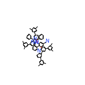 Cc1cc(C)cc(-c2ccc3c(c2)c2cc(-c4cc(C)cc(C)c4)ccc2n3-c2cc(C#N)ccc2-c2c(-c3nc(-c4ccccc4)nc(-c4ccccc4)n3)cccc2-n2c3ccc(-c4cc(C)cc(C)c4)cc3c3cc(-c4cc(C)cc(C)c4)ccc32)c1